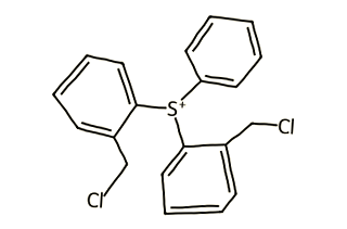 ClCc1ccccc1[S+](c1ccccc1)c1ccccc1CCl